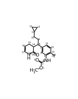 COC(=O)Nc1cc(C(CCC2CC2)C2CC=CNC2=O)ccc1F